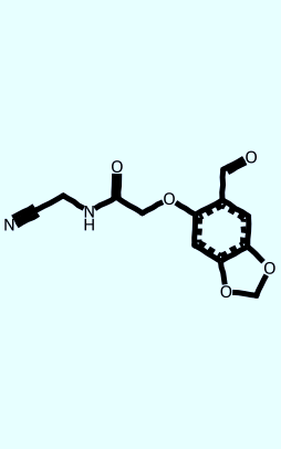 N#CCNC(=O)COc1cc2c(cc1C=O)OCO2